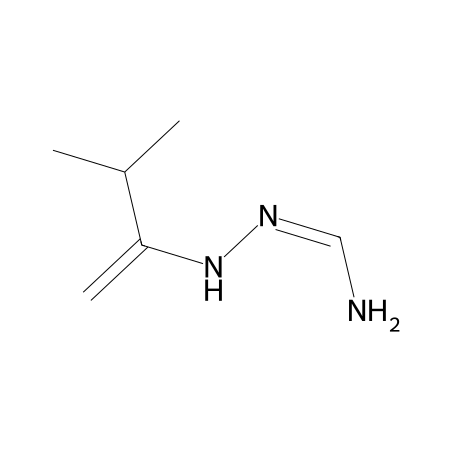 C=C(N/N=C\N)C(C)C